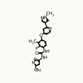 Cc1c(Oc2ccnc(-c3cnn(C)c3)c2)ccc(NC(=O)Nc2cc(C(C)(C)C)no2)c1F